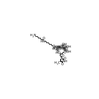 Cc1cn([C@H]2C[C@@H](O)C(COP(=O)(O)OP(=O)(O)OP(=O)(O)OP(=O)(O)OP(=O)(O)OP(=O)(O)OCCCCCCNC(=O)CCCCCN)O2)c(=O)[nH]c1=O